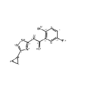 O=C(Nc1nc(C2CC2)ns1)c1cc(F)ccc1Br